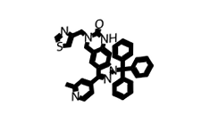 Cc1cc(-c2nn(C(c3ccccc3)(c3ccccc3)c3ccccc3)c3cc4c(cc23)CN(Cc2cscn2)C(=O)N4)ccn1